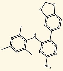 Cc1cc(C)c(Nc2nc(N)ncc2-c2ccc3c(c2)OCO3)c(C)c1